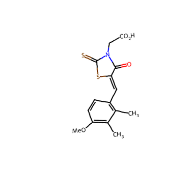 COc1ccc(/C=C2\SC(=S)N(CC(=O)O)C2=O)c(C)c1C